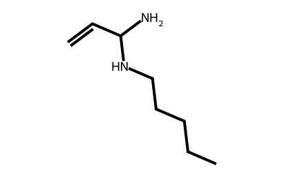 C=CC(N)NCCCCC